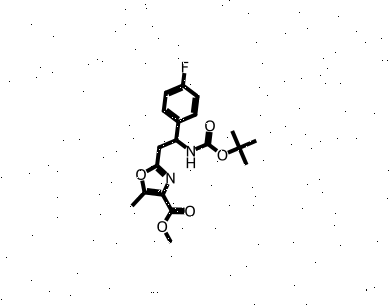 COC(=O)c1nc(CC(NC(=O)OC(C)(C)C)c2ccc(F)cc2)oc1C